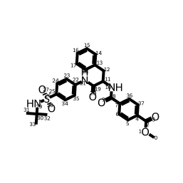 COC(=O)c1ccc(C(=O)NC(Cc2ccccc2)C(=O)Nc2ccc(S(=O)(=O)NC(C)(C)C)cc2)cc1